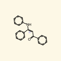 O=C(/C=C(/Nc1ccccc1)c1ccccc1)c1ccccc1